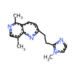 Cc1ncc(C)c2nc(CCc3nccn3C)ccc12